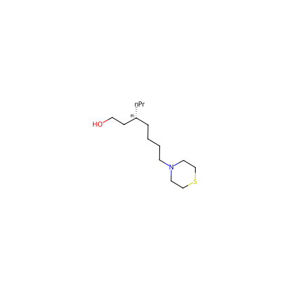 CCC[C@@H](CCO)CCCCN1CCSCC1